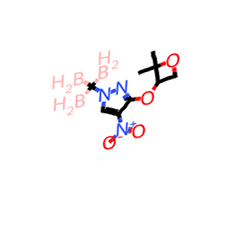 BC(B)(B)n1cc([N+](=O)[O-])c(OC2COC2(C)C)n1